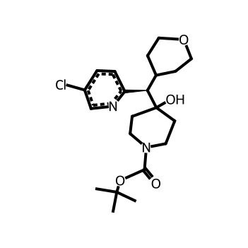 CC(C)(C)OC(=O)N1CCC(O)([C@@H](c2ccc(Cl)cn2)C2CCOCC2)CC1